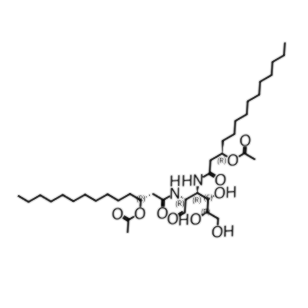 CCCCCCCCCCC[C@H](CC(=O)N[C@@H]([C@H](O)[C@H](O)CO)[C@H](C=O)NC(=O)C[C@@H](CCCCCCCCCCC)OC(C)=O)OC(C)=O